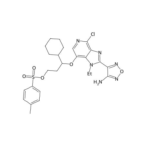 CCn1c(-c2nonc2N)nc2c(Cl)ncc(OC(CCOS(=O)(=O)c3ccc(C)cc3)C3CCCCC3)c21